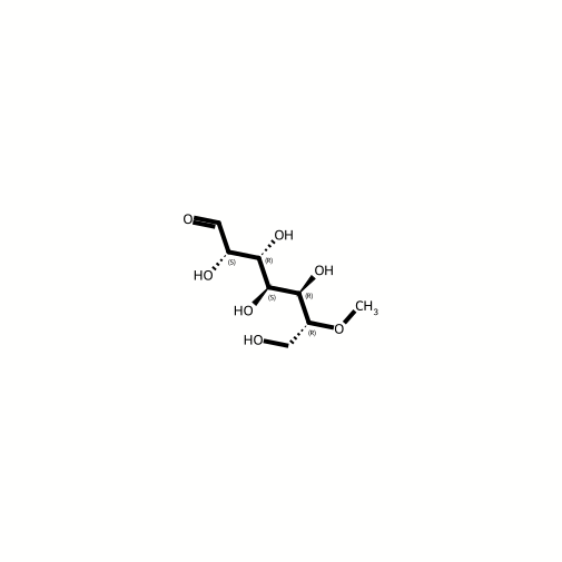 CO[C@H](CO)[C@H](O)[C@@H](O)[C@@H](O)[C@H](O)C=O